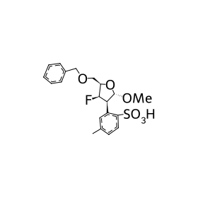 CO[C@H]1O[C@H](COCc2ccccc2)[C@H](F)[C@@H]1c1cc(C)ccc1S(=O)(=O)O